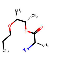 CCCO[C@H](C)[C@H](C)OC(=O)[C@H](C)N